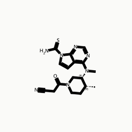 C[C@@H]1CCN(C(=O)CC#N)C[C@@H]1N(C)c1ncnc2c1ccn2C(N)=S